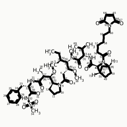 CC[C@H](C)[C@@H]([C@@H](CC(=O)N1CCC[C@H]1[C@H](OC)[C@@H](C)C(=O)N[C@@H](Cc1ccccc1)C(=O)NS(C)(=O)=O)OC)N(C)C(=O)[C@@H](NC(=O)[C@@H]1[C@H]2CC[C@H](C2)N1C(=O)CCCCCN1C(=O)C=CC1=O)C(C)C